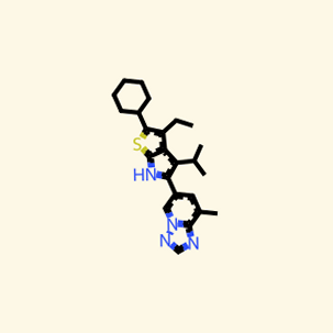 CCc1c(C2CCCCC2)sc2[nH]c(-c3cc(C)c4ncnn4c3)c(C(C)C)c12